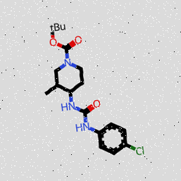 CC1CN(C(=O)OC(C)(C)C)CCC1NC(=O)Nc1ccc(Cl)cc1